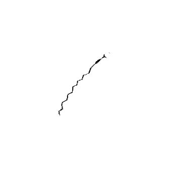 CCCCCC(=O)C#CCCCCCCCCCCCCCC(=O)O